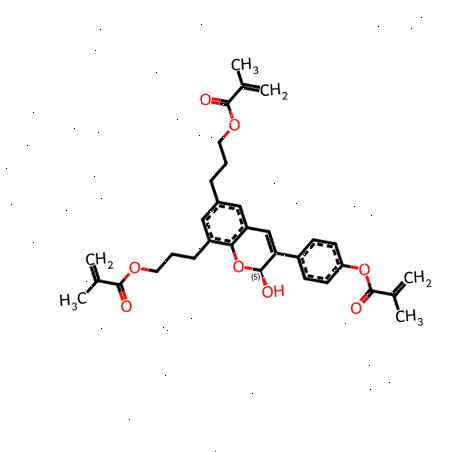 C=C(C)C(=O)OCCCc1cc2c(c(CCCOC(=O)C(=C)C)c1)O[C@H](O)C(c1ccc(OC(=O)C(=C)C)cc1)=C2